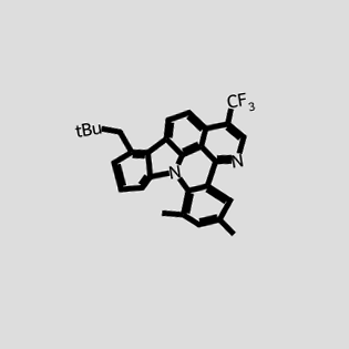 Cc1cc(C)c2c(c1)c1ncc(C(F)(F)F)c3ccc4c5c(CC(C)(C)C)cccc5n2c4c31